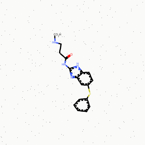 O=C(O)NCCC(=O)Nc1nc2cc(Sc3ccccc3)ccc2[nH]1